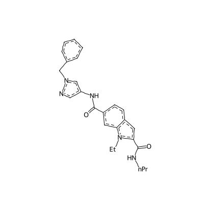 CCCNC(=O)c1cc2ccc(C(=O)Nc3cnn(Cc4ccccc4)c3)cc2n1CC